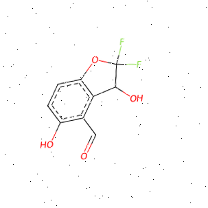 O=Cc1c(O)ccc2c1C(O)C(F)(F)O2